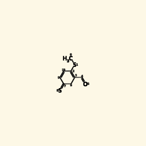 CSC1=C(C=O)CC(=S)C=C1